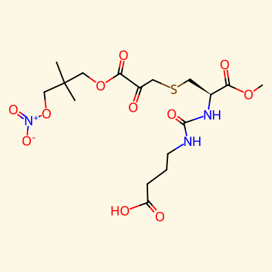 COC(=O)[C@H](CSCC(=O)C(=O)OCC(C)(C)CO[N+](=O)[O-])NC(=O)NCCCC(=O)O